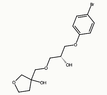 O[C@H](COCC1(O)CCOC1)COc1ccc(Br)cc1